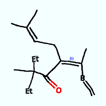 C=B/C(C)=C(/CC=C(C)C)C(=O)C(C)(CC)CC